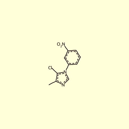 Cc1ncn(-c2cccc([N+](=O)[O-])c2)c1Cl